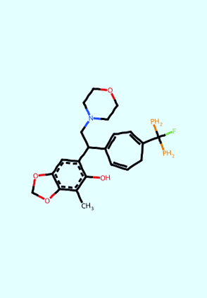 Cc1c(O)c(C(CN2CCOCC2)C2=CC=C(C(F)(P)P)CC=C2)cc2c1OCO2